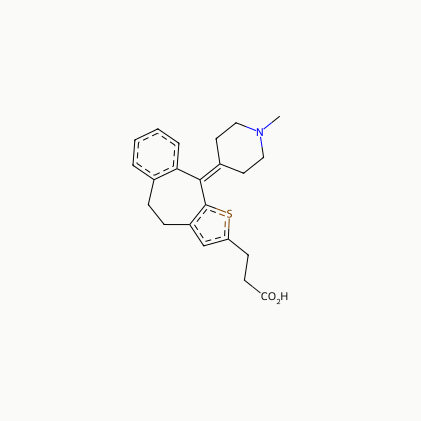 CN1CCC(=C2c3ccccc3CCc3cc(CCC(=O)O)sc32)CC1